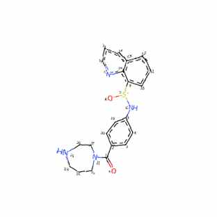 O=C(c1ccc(N[S+]([O-])c2cccc3cccnc23)cc1)N1CCCNCC1